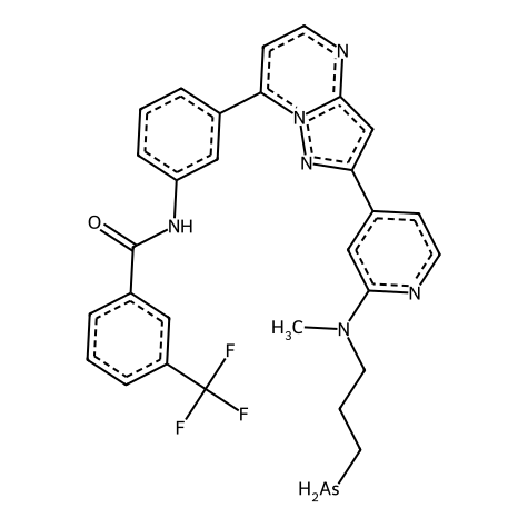 CN(CCC[AsH2])c1cc(-c2cc3nccc(-c4cccc(NC(=O)c5cccc(C(F)(F)F)c5)c4)n3n2)ccn1